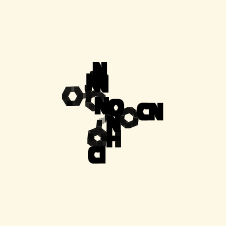 N#C[C@H]1CC[C@H](N[C@H](Cc2ccc(Cl)cc2)C(=O)N2CCC(Cn3cncn3)(C3CCCCC3)CC2)CC1